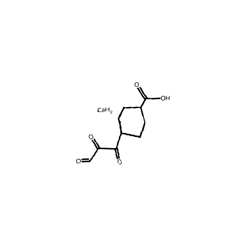 O=CC(=O)C(=O)C1CCC(C(=O)O)CC1.[CaH2]